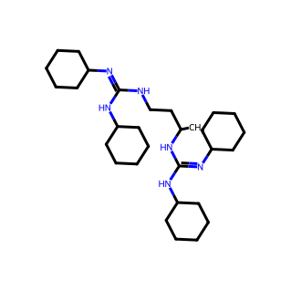 CC(CCNC(=NC1CCCCC1)NC1CCCCC1)NC(=NC1CCCCC1)NC1CCCCC1